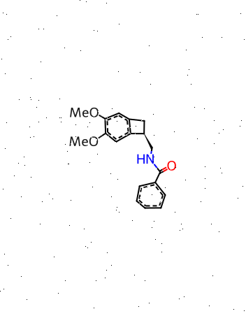 COc1cc2c(cc1OC)[C@H](CNC(=O)c1ccccc1)C2